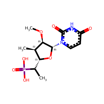 CO[C@@H]1[C@H](C)[C@@H](C(C)P(=O)(O)O)O[C@H]1n1ccc(=O)[nH]c1=O